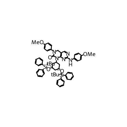 COc1ccc(Nc2ncc3c(n2)N(C2C[C@@H](O[Si](c4ccccc4)(c4ccccc4)C(C)(C)C)C[C@@H](O[Si](c4ccccc4)(c4ccccc4)C(C)(C)C)C2)C(=O)N(c2ccc(OC)cc2)C3)cc1